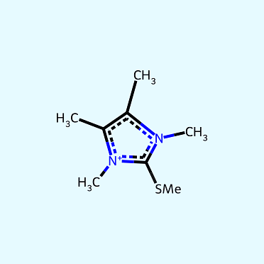 CSc1n(C)c(C)c(C)[n+]1C